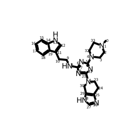 CN1CCN(c2nc(NCCc3c[nH]c4ccccc34)nc(N3CCc4nc[nH]c4C3)n2)CC1